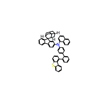 c1ccc(-c2cccc3sc4ccccc4c23)c(-c2ccc(N(c3ccc4c(c3)C3(c5ccccc5-4)[C@H]4CC5C[C@H](C4)C[C@@H]3C5)c3cccc4ccccc34)cc2)c1